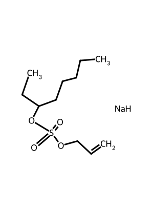 C=CCOS(=O)(=O)OC(CC)CCCCC.[NaH]